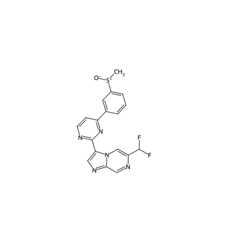 C[S+]([O-])c1cccc(-c2ccnc(-c3cnc4cnc(C(F)F)cn34)n2)c1